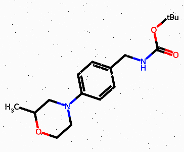 CC1CN(c2ccc(CNC(=O)OC(C)(C)C)cc2)CCO1